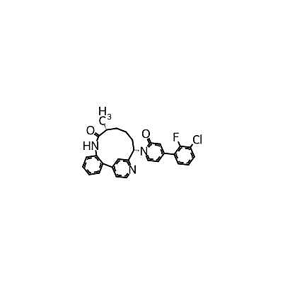 C[C@@H]1CCC[C@H](n2ccc(-c3cccc(Cl)c3F)cc2=O)c2cc(ccn2)-c2ccccc2NC1=O